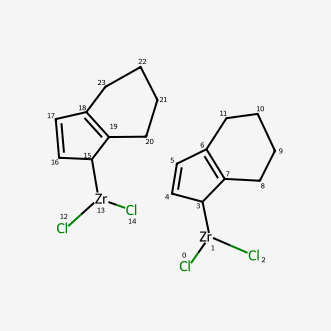 [Cl][Zr]([Cl])[CH]1C=CC2=C1CCCC2.[Cl][Zr]([Cl])[CH]1C=CC2=C1CCCC2